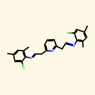 Cc1cc(C)c(N=CCc2cccc(CC=Nc3c(C)cc(C)cc3Cl)n2)c(Cl)c1